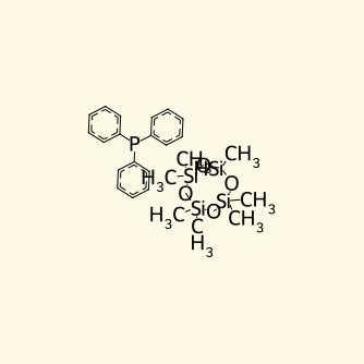 C[SiH]1O[Si](C)(C)O[Si](C)(C)O[Si](C)(C)O1.c1ccc(P(c2ccccc2)c2ccccc2)cc1